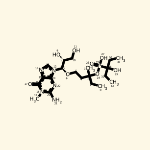 CCC(C)(CCO[C@H]([C@H](O)CO)n1cnc2c(=O)n(C)c(N)nc21)OP(=O)(O)C(O)(CC)CC